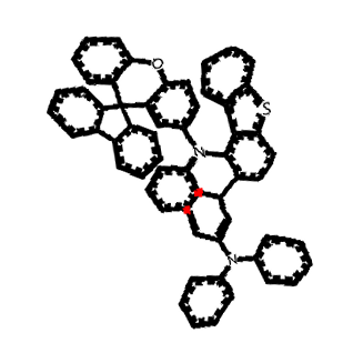 C1=CC(N(c2ccccc2)c2ccccc2)=CC(c2ccc3sc4ccccc4c3c2N(c2ccccc2)c2ccc3c(c2)C2(c4ccccc4O3)c3ccccc3-c3ccccc32)C1